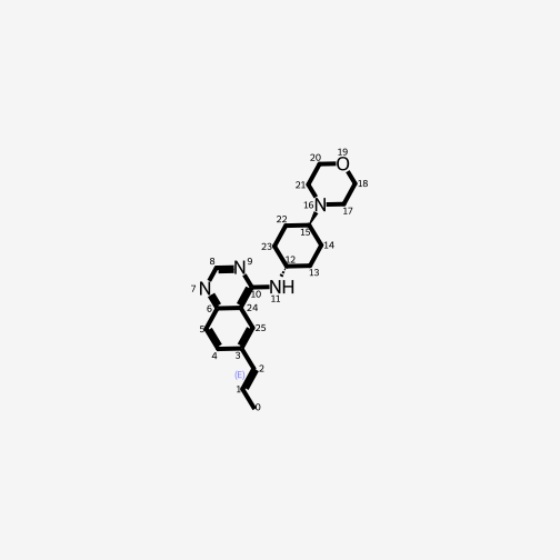 C/C=C/c1ccc2ncnc(N[C@H]3CC[C@H](N4CCOCC4)CC3)c2c1